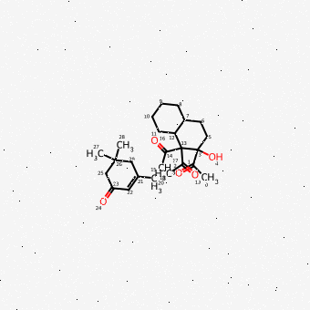 CC(=O)C1(O)CCC2CCCCC2C1(C(C)=O)C(C)=O.CC1=CC(=O)CC(C)(C)C1